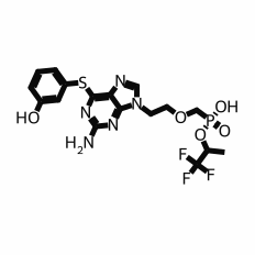 CC(OP(=O)(O)COCCn1cnc2c(Sc3cccc(O)c3)nc(N)nc21)C(F)(F)F